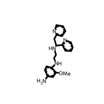 COc1cc(N)ccc1NCCNC(Cc1ccccn1)c1ccccn1